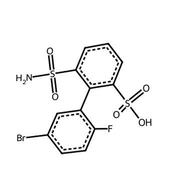 NS(=O)(=O)c1cccc(S(=O)(=O)O)c1-c1cc(Br)ccc1F